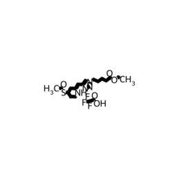 CCOC(=O)CCCCn1cc(C=C2CC(SC(C)=O)CCN2)nn1.O=C(O)C(F)(F)F